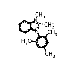 [CH2-][c+]1n(C)c2ccccc2n1-c1c(C)cc(C)cc1C